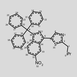 CC(C)Cc1ncc(-c2nn(C(c3ccccc3)(c3ccccc3)c3ccccc3)c3ccc([N+](=O)[O-])cc23)s1